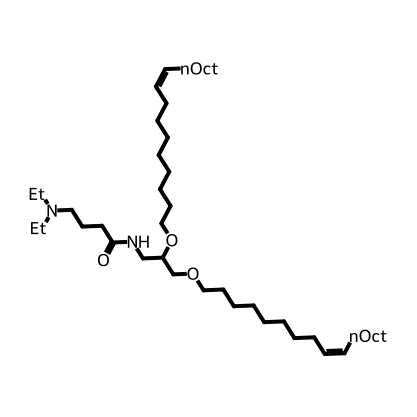 CCCCCCCC/C=C\CCCCCCCCOCC(CNC(=O)CCCN(CC)CC)OCCCCCCCC/C=C\CCCCCCCC